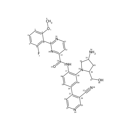 COc1cccc(F)c1-c1nccc(C(=O)Nc2ccc(-c3ccncc3C#N)cc2N2CC(N)CC2CO)n1